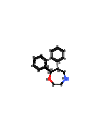 c1ccc([C@@H]2CNCCO[C@H]2c2ccccc2)cc1